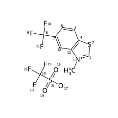 C[n+]1csc2ccc(C(F)(F)F)cc21.O=S(=O)([O-])C(F)(F)F